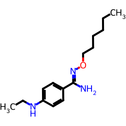 CCCCCCON=C(N)c1ccc(NCC)cc1